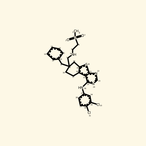 CS(=O)(=O)CCNCC1(Cc2ccccc2)CCc2c(sc3ncnc(Nc4ccc(Cl)c(Cl)c4)c23)C1